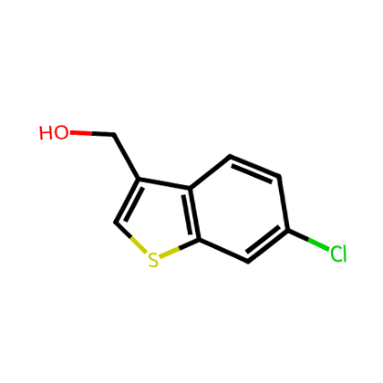 OCc1csc2cc(Cl)ccc12